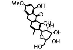 COc1cc(O)c2c(c1)Cc1cc(C)c(C3O[C@H](CO)[C@@H](O)[C@H](O)[C@H]3O)c(O)c1C2=O